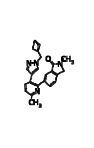 Cc1ccc(-c2cnn(CC34CC(C3)C4)c2)c(-c2ccc3c(c2)C(=O)N(C)C3)n1